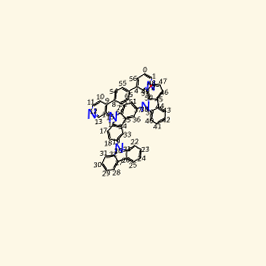 c1cncc(-c2ccc(-c3ccncc3-n3c4ccc(-n5c6ccccc6c6ccccc65)cc4c4cc(-n5c6ccccc6c6ccccc65)ccc43)cc2)c1